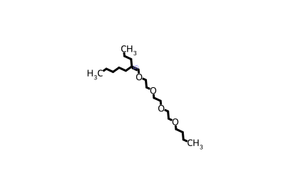 CCCCC/C(=C\OCCOCCOCCOCCCC)CCC